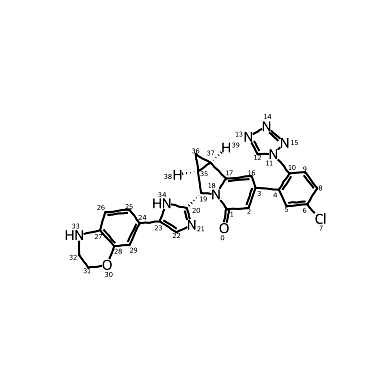 O=c1cc(-c2cc(Cl)ccc2-n2cnnn2)cc2n1[C@H](c1ncc(-c3ccc4c(c3)OCCN4)[nH]1)[C@H]1C[C@@H]21